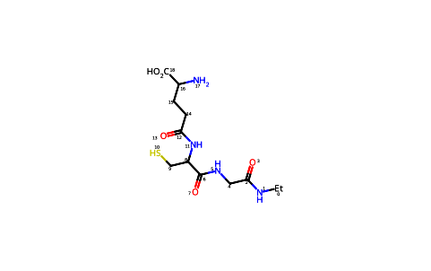 CCNC(=O)CNC(=O)C(CS)NC(=O)CCC(N)C(=O)O